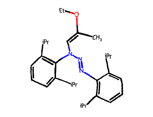 CCO/C(C)=C/N(/N=N/c1c(C(C)C)cccc1C(C)C)c1c(C(C)C)cccc1C(C)C